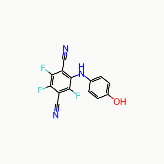 N#Cc1c(F)c(F)c(C#N)c(Nc2ccc(O)cc2)c1F